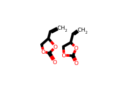 C=CC1COC(=O)O1.C=CC1COC(=O)O1